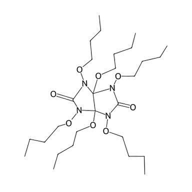 CCCCON1C(=O)N(OCCCC)C2(OCCCC)N(OCCCC)C(=O)N(OCCCC)C12OCCCC